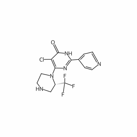 O=c1[nH]c(-c2ccncc2)nc(N2CCNC[C@H]2C(F)(F)F)c1Cl